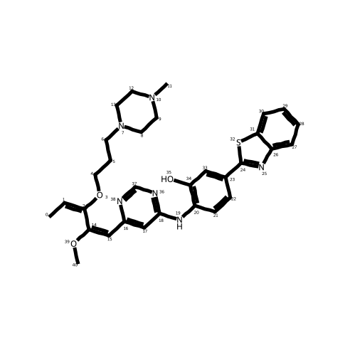 C/C=C(OCCCN1CCN(C)CC1)\C(=C/c1cc(Nc2ccc(-c3nc4ccccc4s3)cc2O)ncn1)OC